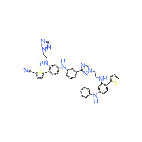 N#Cc1ccc(-c2ccc(Nc3cccc(-c4ncn(CCNc5cc(Nc6ccccc6)ccc5-c5cccs5)n4)c3)cc2NCCn2cncn2)s1